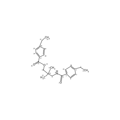 CCc1ccc(C(=O)NCC(C)(C)COC(=O)c2ccc(CC)cc2)cc1